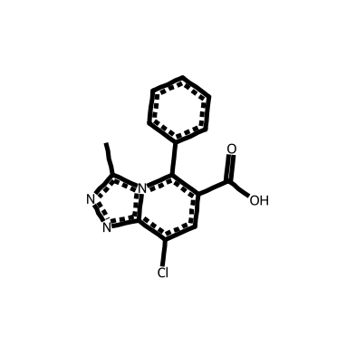 Cc1nnc2c(Cl)cc(C(=O)O)c(-c3ccccc3)n12